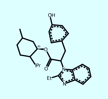 CCc1nc2ccccc2n1C(Cc1ccc(O)cc1)C(=O)O[C@@H]1CC(C)CCC1C(C)C